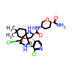 CC1(C)CCC2(CC1)N[C@@H](C(=O)N[C@@H]1CC[C@@H](C(N)=O)OC1)[C@H](c1ccnc(Cl)c1F)[C@]21C(=O)NC2=CC(Cl)=CCC21